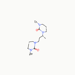 CCN1CCCN(C(C)CCN2CCCN(C(C)C)C2=O)C1=O